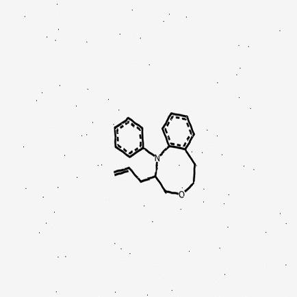 C=CCC1COCCc2ccccc2N1c1ccccc1